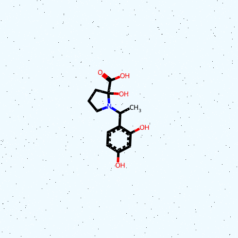 CC(c1ccc(O)cc1O)N1CCCC1(O)C(=O)O